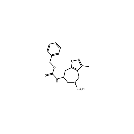 Cc1noc2c1CN(C(=O)O)CC(NC(=O)OCc1ccccc1)C2